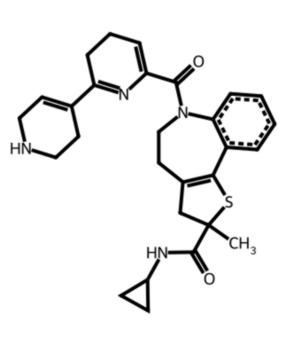 CC1(C(=O)NC2CC2)CC2=C(S1)c1ccccc1N(C(=O)C1=CCCC(C3=CCNCC3)=N1)CC2